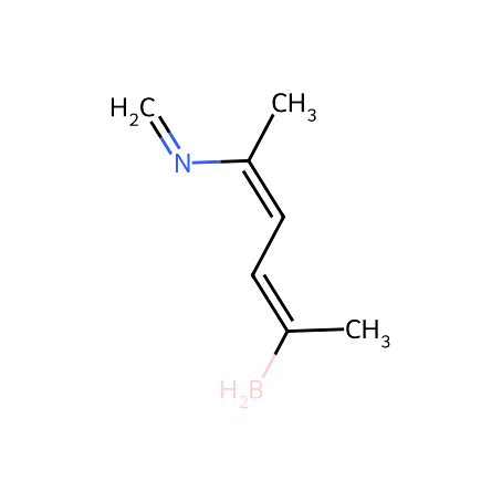 B/C(C)=C/C=C(/C)N=C